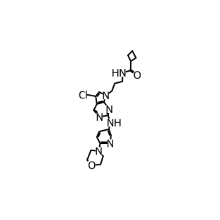 O=C(NCCCn1cc(Cl)c2cnc(Nc3ccc(N4CCOCC4)nc3)nc21)C1CCC1